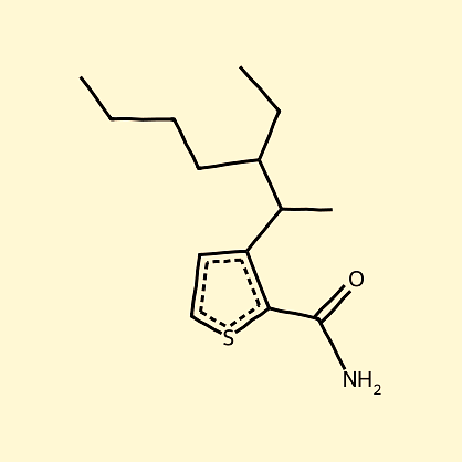 CCCCC(CC)C(C)c1ccsc1C(N)=O